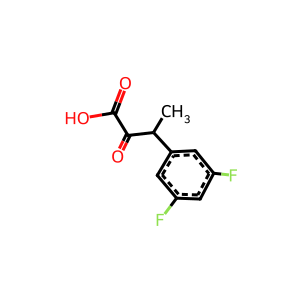 CC(C(=O)C(=O)O)c1cc(F)cc(F)c1